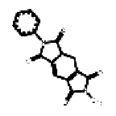 CN1C(=O)C2=C(CC3C(=O)N(c4ccccc4)C(=O)C3=C2)C1=O